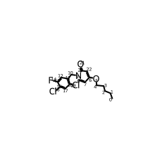 CCCCCOc1ccn(Cc2cc(F)c(Cl)cc2Cl)c(=O)c1